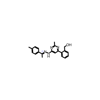 C/C(=N\Nc1cc(-c2ccccc2CO)nc(C)n1)c1ccc(C)cc1